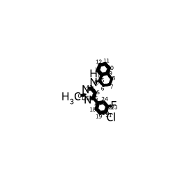 Cc1nc(N[C@@H]2CCCc3ccccc32)cc(-c2ccc(Cl)c(F)c2)n1